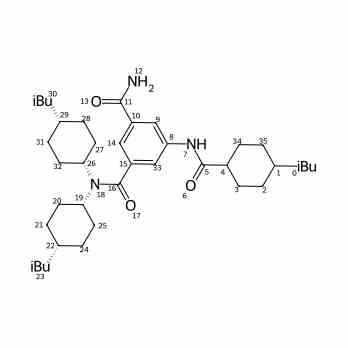 CCC(C)C1CCC(C(=O)Nc2cc(C(N)=O)cc(C(=O)N([C@H]3CC[C@@H](C(C)CC)CC3)[C@H]3CC[C@@H](C(C)CC)CC3)c2)CC1